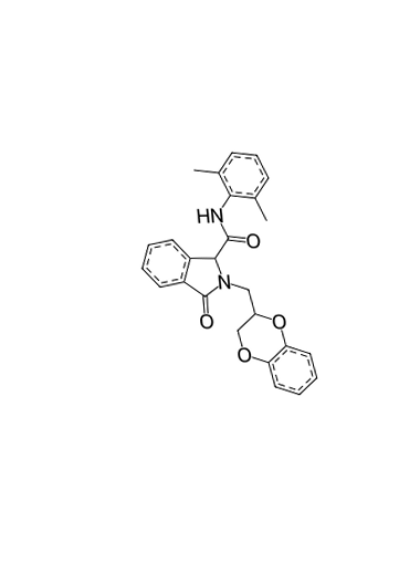 Cc1cccc(C)c1NC(=O)C1c2ccccc2C(=O)N1CC1COc2ccccc2O1